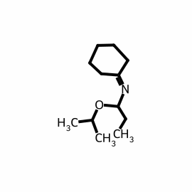 CCC(N=C1CCCCC1)OC(C)C